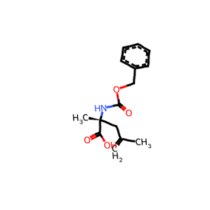 C=C(C)C[C@@](C)(NC(=O)OCc1ccccc1)C(=O)O